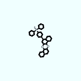 S=P(c1ccccc1)(c1ccccc1)c1ccc(-c2cc3c(c4ccccc24)Oc2ccc4ccccc4c2O3)cc1